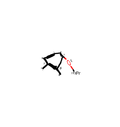 [CH2]c1cccc(OCCC)c1C